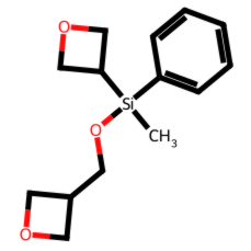 C[Si](OCC1COC1)(c1ccccc1)C1COC1